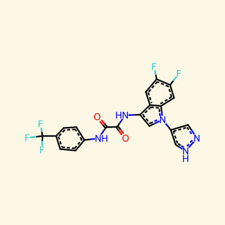 O=C(Nc1ccc(C(F)(F)F)cc1)C(=O)Nc1cn(-c2cn[nH]c2)c2cc(F)c(F)cc12